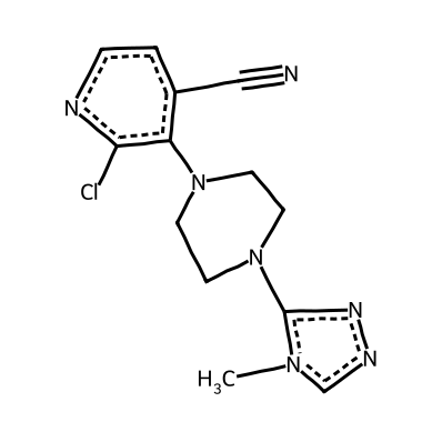 Cn1cnnc1N1CCN(c2c(C#N)ccnc2Cl)CC1